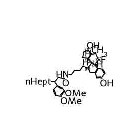 CCCCCCCC(CC(=O)NCCCC[C@@H]1Cc2cc(O)ccc2[C@@H]2[C@@H]1[C@@H]1CC[C@H](O)[C@@]1(C)C[C@@H]2F)c1ccc(OC)c(OC)c1